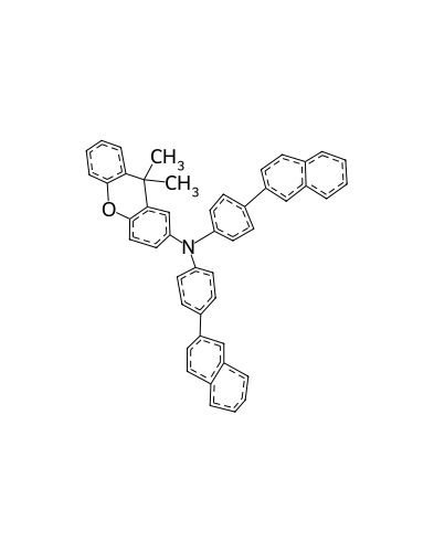 CC1(C)c2ccccc2Oc2ccc(N(c3ccc(-c4ccc5ccccc5c4)cc3)c3ccc(-c4ccc5ccccc5c4)cc3)cc21